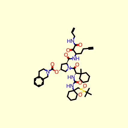 C#CCCC(NC(=O)[C@@H]1C[C@@H](OC(=O)N2CCc3ccccc3C2)CN1C(=O)[C@@H](NC(=O)NC1(CS(=O)(=O)C(C)(C)C)CCCCC1)C1(C)CCCCC1)C(=O)C(=O)NCC=C